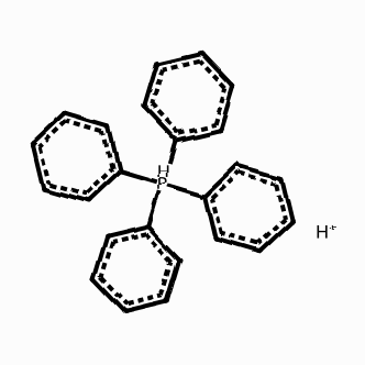 [H+].c1ccc([PH](c2ccccc2)(c2ccccc2)c2ccccc2)cc1